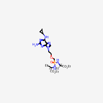 CCOC(=O)[C@H](CC)NP(=O)(COCCn1cnc2c(NC3CC3)nc(N)nc21)N[C@@H](CC)C(=O)OCC